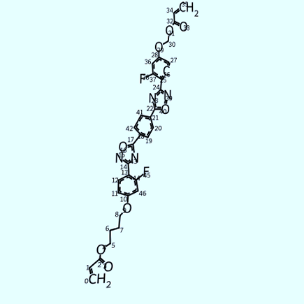 C=CC(=O)OCCCCOc1ccc(-c2noc(-c3ccc(-c4nc(-c5ccc(OCOC(=O)C=C)cc5F)no4)cc3)n2)c(F)c1